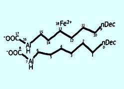 CCCCCCCCCCCCCCC[CH2][AlH][C](=O)[O-].CCCCCCCCCCCCCCC[CH2][AlH][C](=O)[O-].[Fe+2]